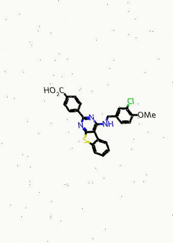 COc1ccc(CNc2nc(-c3ccc(C(=O)O)cc3)nc3sc4ccccc4c23)cc1Cl